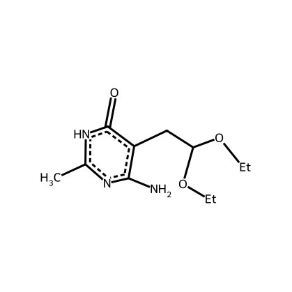 CCOC(Cc1c(N)nc(C)[nH]c1=O)OCC